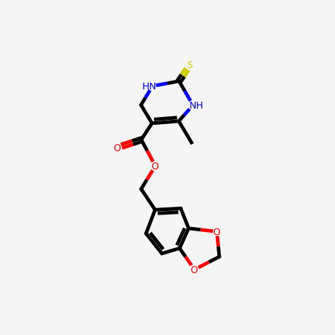 CC1=C(C(=O)OCc2ccc3c(c2)OCO3)CNC(=S)N1